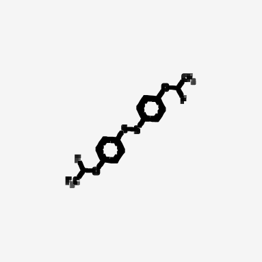 FC(Oc1ccc(SSc2ccc(OC(F)C(F)(F)F)cc2)cc1)C(F)(F)F